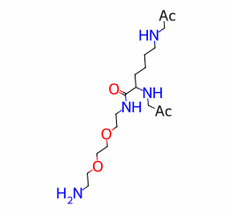 CC(=O)CNCCCCC(NCC(C)=O)C(=O)NCCOCCOCCN